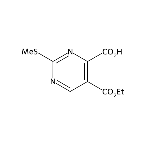 CCOC(=O)c1cnc(SC)nc1C(=O)O